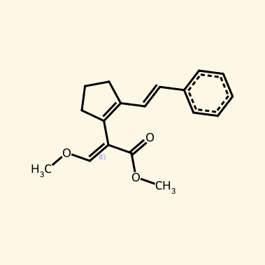 CO/C=C(/C(=O)OC)C1=C(C=Cc2ccccc2)CCC1